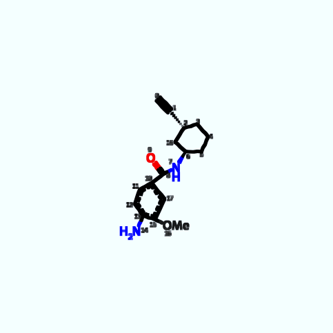 C#C[C@@H]1CCC[C@@H](NC(=O)c2ccc(N)c(OC)c2)C1